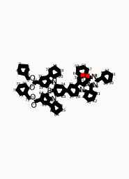 O=C(OCc1ccccc1)c1cc2c3c(c1)c1ccccc1n3-c1cc(-c3ccc4c(c3)c3ccccc3n4-c3ccccc3-c3nc(-c4ccccc4)nc(-c4ccccc4)n3)cc3c1B2c1cc(C(=O)OCc2ccccc2)cc2c4ccccc4n-3c12